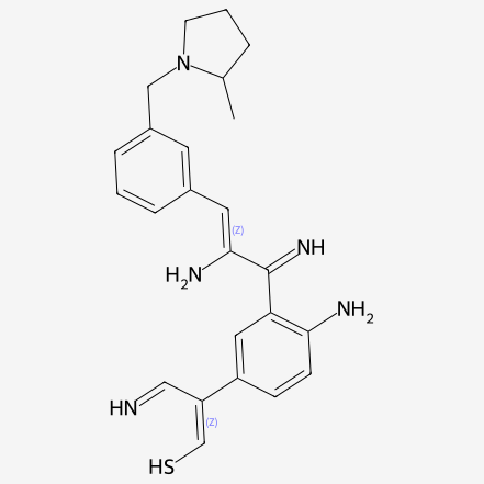 CC1CCCN1Cc1cccc(/C=C(\N)C(=N)c2cc(/C(C=N)=C/S)ccc2N)c1